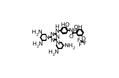 N[C@@H]1C[C@H](N)CN(c2nc(Nc3ccc(NC(=O)c4cc(OC(F)(F)F)ccc4O)c(O)c3)nc(N3C[C@H](N)C[C@H](N)C3)n2)C1